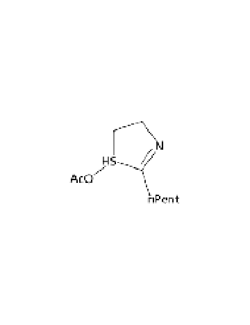 CCCCCC1=NCC[SH]1OC(C)=O